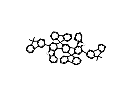 CC1(C)c2ccccc2-c2cc(-c3cc4c(c5c3oc3ccccc35)-c3cc5c(cc3C43c4ccccc4-c4ccccc43)-c3c(cc(-c4ccc6c(c4)-c4ccccc4C6(C)C)c4oc6ccccc6c34)C53c4ccccc4-c4ccccc43)ccc21